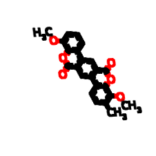 COc1cccc2c1oc(=O)c1cc3c(cc12)c(=O)oc1c(OC)c(C)ccc13